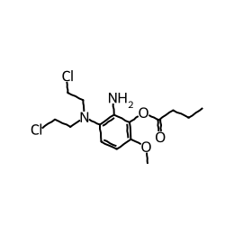 CCCC(=O)Oc1c(OC)ccc(N(CCCl)CCCl)c1N